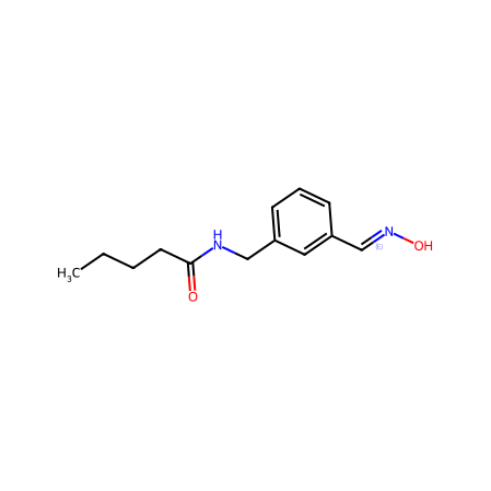 CCCCC(=O)NCc1cccc(/C=N/O)c1